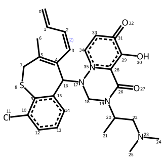 C=C/C=C\C1=C(C)CSc2c(Cl)cccc2C1N1CN(C(C)CN(C)C)C(=O)c2c(O)c(=O)ccn21